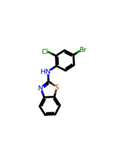 Clc1cc(Br)ccc1Nc1nc2ccccc2s1